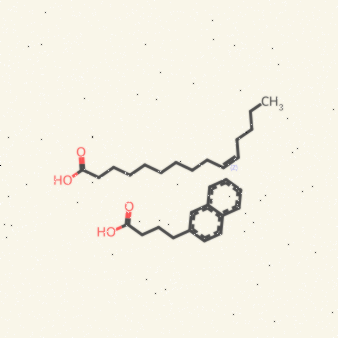 CCCC/C=C\CCCCCCCCC(=O)O.O=C(O)CCCc1ccc2ccccc2c1